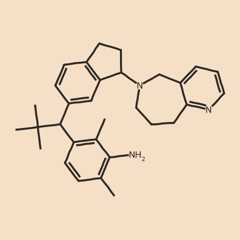 Cc1ccc(C(c2ccc3c(c2)C(N2CCCc4ncccc4C2)CC3)C(C)(C)C)c(C)c1N